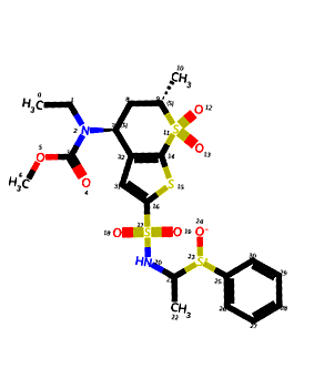 CCN(C(=O)OC)[C@H]1C[C@H](C)S(=O)(=O)c2sc(S(=O)(=O)NC(C)[S+]([O-])c3ccccc3)cc21